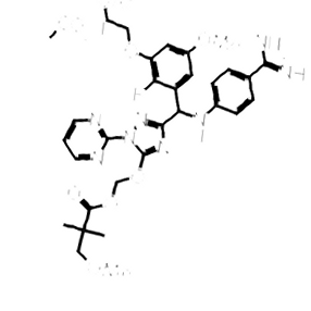 CC(=O)O.COCC(C)(C)C(=O)OCOc1nc(C(Nc2ccc(C(=N)N)cc2)c2cc(OC)cc(OCCOC(C)=O)c2F)nn1-c1ncccn1